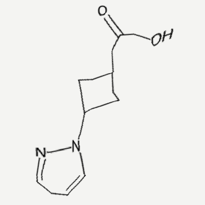 O=C(O)C1CC(n2cccn2)C1